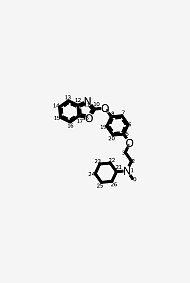 CN(CCOc1ccc(Oc2nc3ccccc3o2)cc1)C1CCCCC1